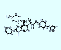 N[C@H]1CC[C@H](Nc2c(C(=O)NCc3ccc(-n4ccnc4)cc3)cnc3[nH]c(-c4ccccc4)cc23)CC1